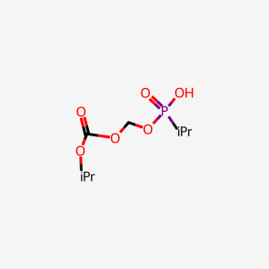 CC(C)OC(=O)OCOP(=O)(O)C(C)C